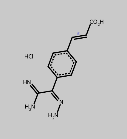 Cl.N=C(N)C(=NN)c1ccc(/C=C/C(=O)O)cc1